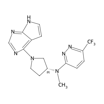 CN(c1ccc(C(F)(F)F)nn1)[C@@H]1CCN(c2ncnc3[nH]ccc23)C1